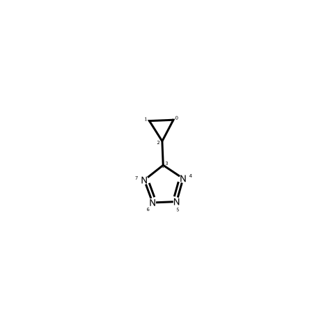 C1CC1[C]1N=NN=N1